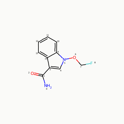 NC(=O)c1cn(OCF)c2ccccc12